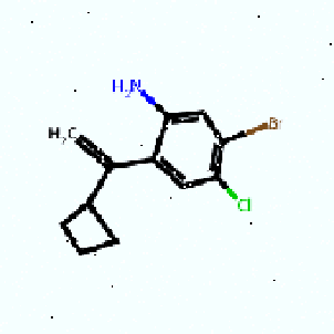 C=C(c1cc(Cl)c(Br)cc1N)C1CCC1